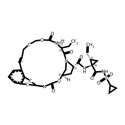 C=C[C@@H]1C[C@]1(NC(=O)[C@@H]1C[C@@H]2CN1C(=O)[C@H](CC(F)(F)F)NC(=O)OCCC/C=C/c1cccc3c1CCN(C3)C(=O)O2)C(=O)NS(=O)(=O)C1CC1